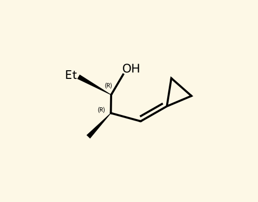 CC[C@@H](O)[C@H](C)C=C1CC1